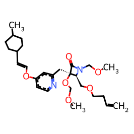 C=CCCOC[C@@H]1N(COC)C(=O)[C@]1(Cc1cc(O/C=C/C2CCC(C)CC2)ccn1)OCOC